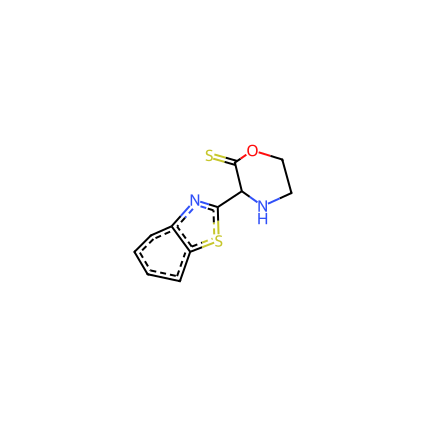 S=C1OCCNC1c1nc2ccccc2s1